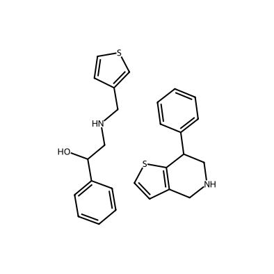 OC(CNCc1ccsc1)c1ccccc1.c1ccc(C2CNCc3ccsc32)cc1